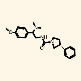 COc1ccc(C(CNC(=O)N2CC[C@H](c3ccccc3)C2)N(C)C)cc1